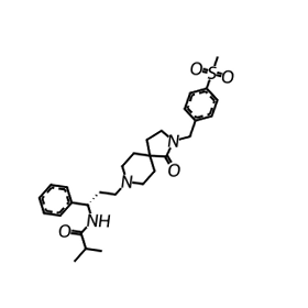 CC(C)C(=O)N[C@@H](CCN1CCC2(CC1)CCN(Cc1ccc(S(C)(=O)=O)cc1)C2=O)c1ccccc1